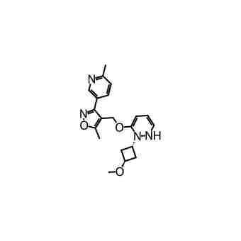 CO[C@H]1C[C@H](N2NC=CC=C2OCc2c(-c3ccc(C)nc3)noc2C)C1